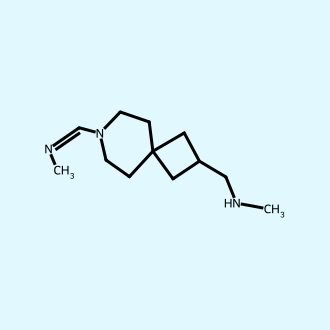 C/N=C\N1CCC2(CC1)CC(CNC)C2